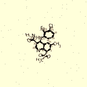 Cc1cc(S(C)(=O)=O)c2ncc(C(N)=O)c(Nc3cccc(Cl)c3F)c2c1